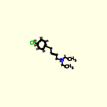 CCN(CC)CC=CCc1ccc(Cl)cc1